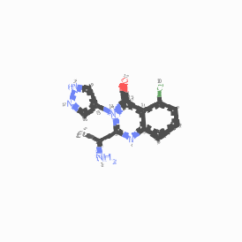 CCC(N)c1nc2cccc(Cl)c2c(=O)n1-c1cn[nH]c1